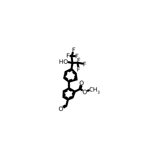 COC(=O)c1cc(C=O)ccc1-c1ccc(C(O)(C(F)(F)F)C(F)(F)F)cc1